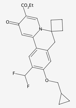 CCOC(=O)c1cn2c(cc1=O)-c1cc(C(F)F)c(OCC3CC3)cc1CC21CCC1